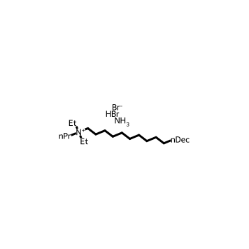 Br.CCCCCCCCCCCCCCCCCCCC[N+](CC)(CC)CCC.N.[Br-]